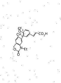 CCN1C(=O)OCc2cc(C)c(-c3cc(/C=C/C(=O)O)ccc3OC(F)(F)F)cc21